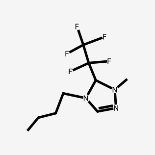 CCCCN1C=NN(C)C1C(F)(F)C(F)(F)F